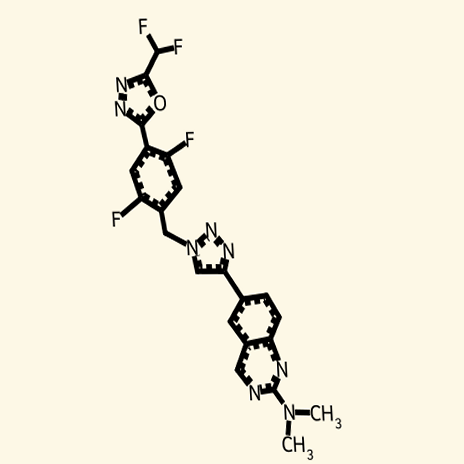 CN(C)c1ncc2cc(-c3cn(Cc4cc(F)c(-c5nnc(C(F)F)o5)cc4F)nn3)ccc2n1